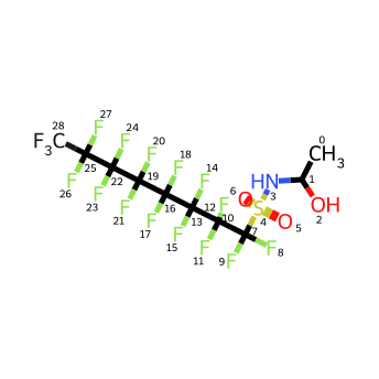 CC(O)NS(=O)(=O)C(F)(F)C(F)(F)C(F)(F)C(F)(F)C(F)(F)C(F)(F)C(F)(F)C(F)(F)F